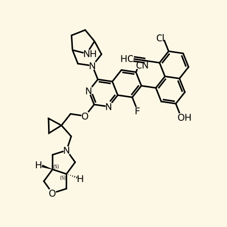 C#Cc1c(Cl)ccc2cc(O)cc(-c3c(C#N)cc4c(N5CC6CCC(C5)N6)nc(OCC5(CN6C[C@H]7COC[C@@H]7C6)CC5)nc4c3F)c12